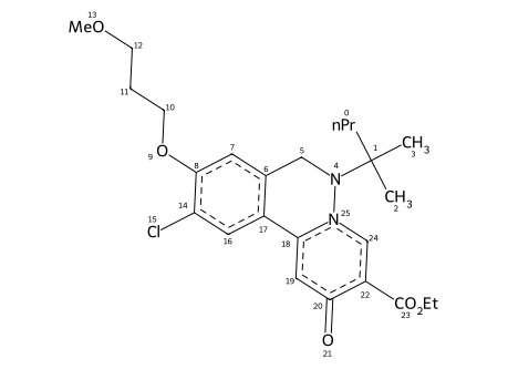 CCCC(C)(C)N1Cc2cc(OCCCOC)c(Cl)cc2-c2cc(=O)c(C(=O)OCC)cn21